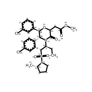 CC[C@@H](CS(=O)(=O)N1CCC[C@@H]1C)N1C(=O)C(CC(=O)OC)O[C@H](c2cccc(Cl)c2)[C@H]1c1ccc(Cl)cc1